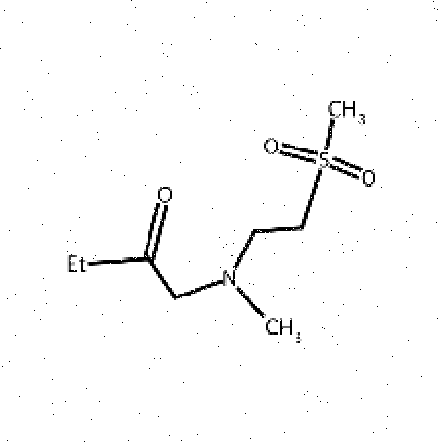 CCC(=O)CN(C)CCS(C)(=O)=O